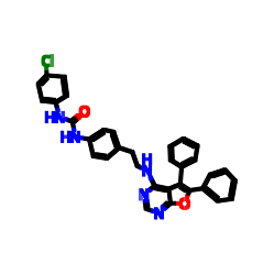 O=C(Nc1ccc(Cl)cc1)Nc1ccc(CCNc2ncnc3oc(-c4ccccc4)c(-c4ccccc4)c23)cc1